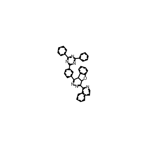 c1ccc(-c2nc(-c3ccccc3)nc(-c3cccc(C4=NN=C(c5nccc6ccccc56)C5Oc6ccccc6C45)c3)n2)cc1